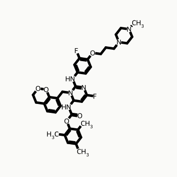 Cc1cc(C)c(OC(=O)NC2C=C(F)N=C(Nc3ccc(OCCCN4CCN(C)CC4)c(F)c3)N2Cc2cccc3c2OOCC3)c(C)c1